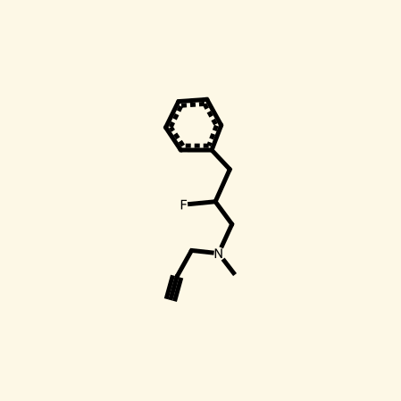 C#CCN(C)CC(F)Cc1ccccc1